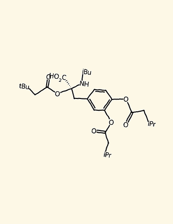 CCC(C)N[C@@](Cc1ccc(OC(=O)CC(C)C)c(OC(=O)CC(C)C)c1)(OC(=O)CC(C)(C)C)C(=O)O